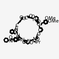 COc1ccc(CC[C@H]2OC(=O)[C@@H]3CCCCN3C(=O)C(=O)C(C)(C)COC(=O)/C=C/CCCN(C)C(=O)[C@@H](Cc3ccccc3)N(C)C(=O)[C@@H](Cc3ccc(C(=O)NC4CCCCC4)cc3)NC(=O)[C@H]3CCCN3C(=O)[C@H](CC(C)C)N(C)C(=O)COc3cccc2c3)cc1OC